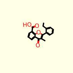 CCc1ccccc1-c1oc2c(C(=O)O)cccc2c(=O)c1C